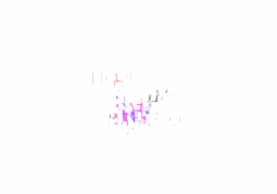 CO[C@@H]1C(=O)N2[C@@H]1SC(C)(C)[C@]2(NC(=O)C(NC(=O)N1CCN(Cc2ccc(O)c(O)c2)C(=O)C1=O)c1ccccc1)C(=O)[O-].[Na+]